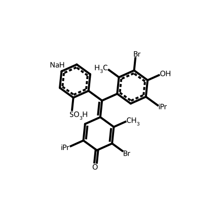 CC1=C(Br)C(=O)C(C(C)C)=CC1=C(c1ccccc1S(=O)(=O)O)c1cc(C(C)C)c(O)c(Br)c1C.[NaH]